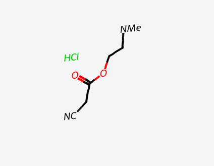 CNCCOC(=O)CC#N.Cl